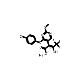 CSc1ncc(/C(C(=O)[O-])=C(/O)C(F)(F)F)c(Sc2ccc(Cl)cc2)n1.[Na+]